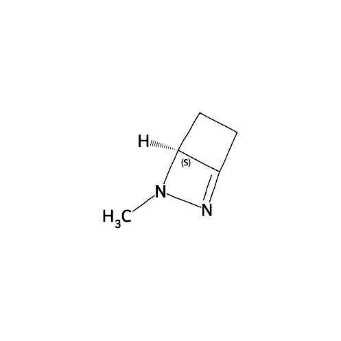 CN1N=C2CC[C@@H]21